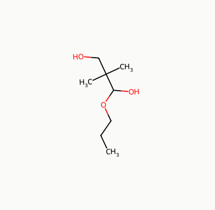 CCCOC(O)C(C)(C)CO